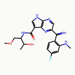 CNc1cc(F)ccc1C(=N)c1cnc2[nH]cc(C(=O)NC(COC)C(C)O)c2n1